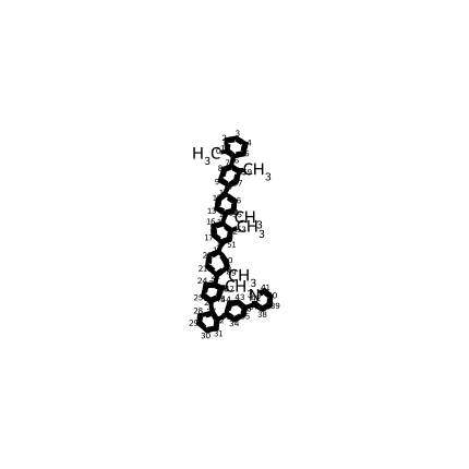 Cc1ccccc1-c1ccc(-c2ccc(-c3ccc(-c4ccc(-c5ccc(-c6ccccc6-c6ccc(-c7ccccn7)cc6)cc5C)c(C)c4)cc3C)c(C)c2)cc1C